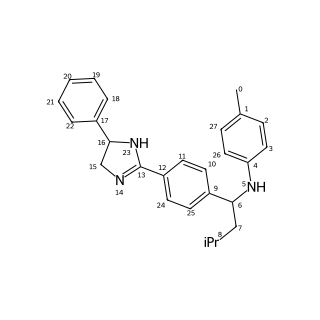 Cc1ccc(NC(CC(C)C)c2ccc(C3=NCC(c4ccccc4)N3)cc2)cc1